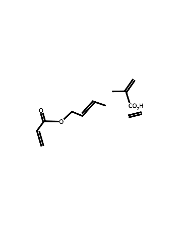 C=C.C=C(C)C(=O)O.C=CC(=O)OCC=CC